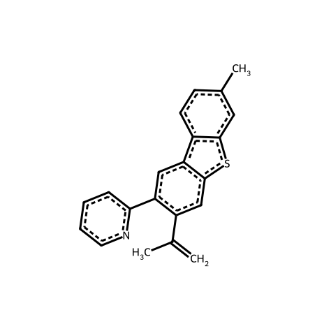 C=C(C)c1cc2sc3cc(C)ccc3c2cc1-c1ccccn1